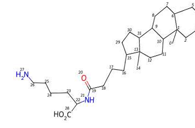 CC12CCCCC1CCC1C2CCC2(C)C(CCCC(=O)NC(CCCCN)C(=O)O)CCC12